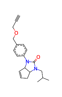 C#CCOCc1ccc(N2C(=O)N(CC(C)C)C3CC=CC32)cc1